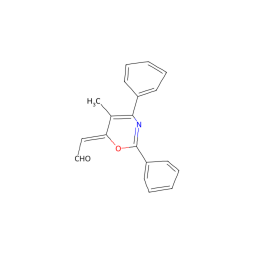 CC1=C(c2ccccc2)N=C(c2ccccc2)OC1=CC=O